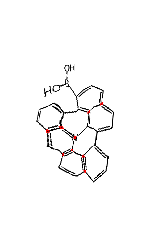 OB(O)c1ccccc1-c1ccccc1N(c1ccccc1)c1ccccc1-c1ccccc1-c1ccccc1